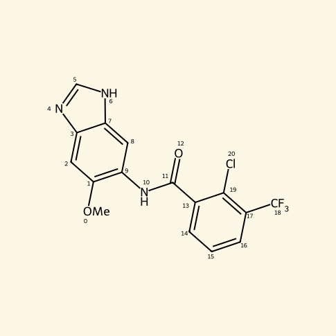 COc1cc2nc[nH]c2cc1NC(=O)c1cccc(C(F)(F)F)c1Cl